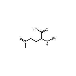 C=S(C)CCC(NC(C)C)C(=O)C(C)C